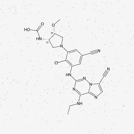 CCNc1nc(Nc2cc(C#N)cc(N3C[C@H](NC(=O)O)[C@H](OC)C3)c2Cl)nn2c(C#N)cnc12